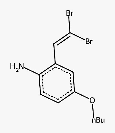 CCCCOc1ccc(N)c(C=C(Br)Br)c1